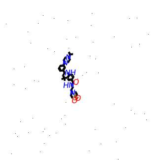 CC(C)N1CCN(c2cccc(C3CC(C)(C)c4cc(C(=O)NCCN5CCS(=O)(=O)CC5)ccc4N3)c2)CC1